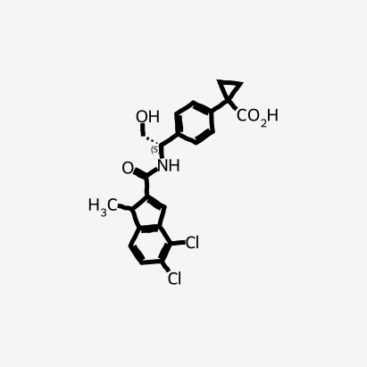 CC1C(C(=O)N[C@H](CO)c2ccc(C3(C(=O)O)CC3)cc2)=Cc2c1ccc(Cl)c2Cl